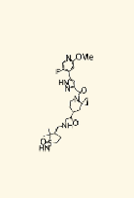 COc1cc(-c2cc(C(=O)N3CC[C@H](C(=O)CNC[C@H]4CC[S@](=N)(=O)C4(C)C)CC34CC4)n[nH]2)c(F)cn1